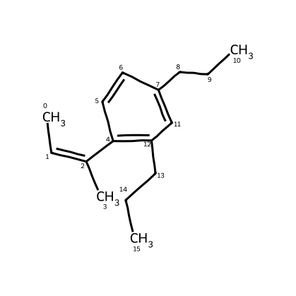 C/C=C(/C)c1ccc(CCC)cc1CCC